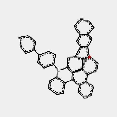 c1ccc(-c2ccc(N(c3ccc4oc5cc6ccccc6cc5c4c3)c3ccccc3-c3cc4ccccc4c4ccccc34)cc2)cc1